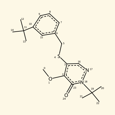 COc1c(SCc2cccc(C(C)(C)C)c2)cnn(C(C)(C)C)c1=O